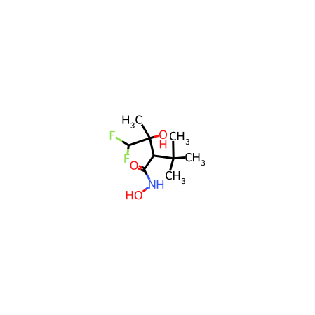 CC(C)(C)C(C(=O)NO)C(C)(O)C(F)F